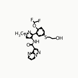 Cn1cc(NC(=O)c2cnn3cccnc23)c(-c2cc(SCCO)ccc2OC(F)F)n1